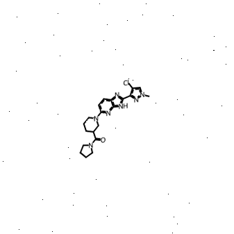 Cn1cc(Cl)c(-c2nc3ccc(N4CCCC(C(=O)N5CCCC5)C4)nc3[nH]2)n1